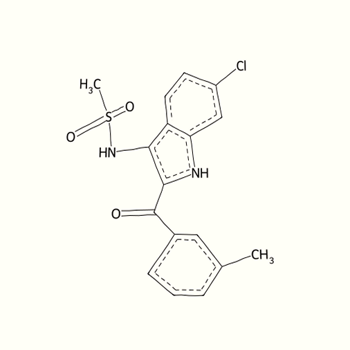 Cc1cccc(C(=O)c2[nH]c3cc(Cl)ccc3c2NS(C)(=O)=O)c1